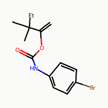 C=C(OC(=O)Nc1ccc(Br)cc1)C(C)(C)CC